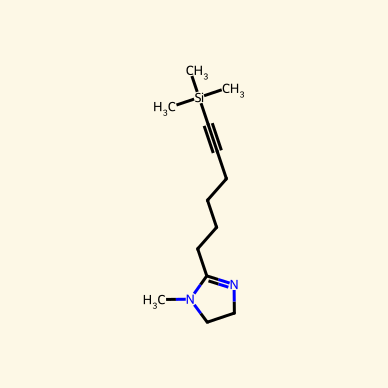 CN1CCN=C1CCCCC#C[Si](C)(C)C